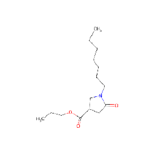 CCCCCCCN1CC(C(=O)OCCC)CC1=O